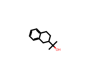 CC(C)(O)C1CCc2ccccc2C1